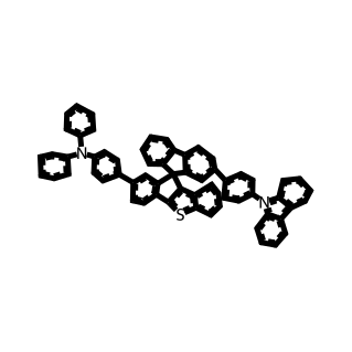 c1ccc(N(c2ccccc2)c2ccc(-c3ccc4c(c3)C3(c5ccccc5-c5ccc(-c6ccc(-n7c8ccccc8c8ccccc87)cc6)cc53)c3c-4sc4ccccc34)cc2)cc1